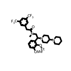 CCOc1c(OC)cccc1C(CN(C)C(=O)Cc1cc(C(F)(F)F)cc(C(F)(F)F)c1)N1CCC(N2CCCCC2)CC1